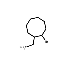 CCOC(=O)CC1CCCCCCC1Br